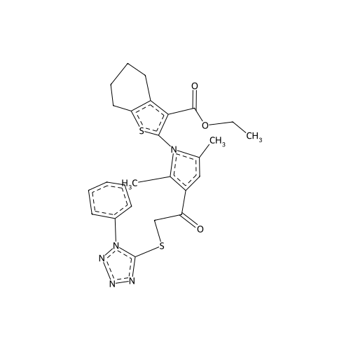 CCOC(=O)c1c(-n2c(C)cc(C(=O)CSc3nnnn3-c3ccccc3)c2C)sc2c1CCCC2